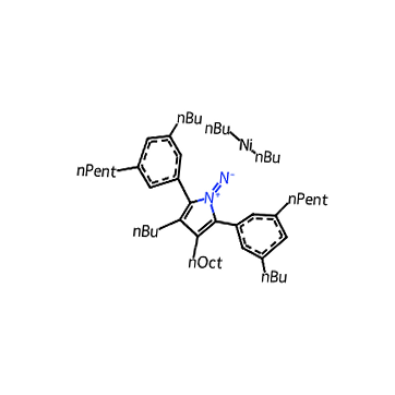 CCCCCCCCC1=C(c2cc(CCCC)cc(CCCCC)c2)[N+](=[N-])C(c2cc(CCCC)cc(CCCCC)c2)=C1CCCC.CCC[CH2][Ni][CH2]CCC